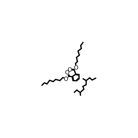 CCCC(C)CCCC(C)CC.CCCCCCCCOC(=O)c1ccccc1C(=O)OCCCCCCCC